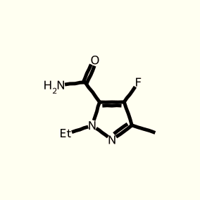 CCn1nc(C)c(F)c1C(N)=O